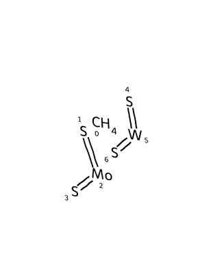 C.[S]=[Mo]=[S].[S]=[W]=[S]